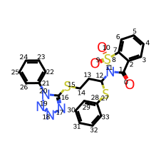 O=C1c2ccccc2S(=O)(=O)N1C(CCSc1nnnn1-c1ccccc1)Sc1ccccc1